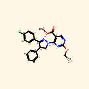 CC(C)(C)OC(=O)c1cnc(OCC(F)(F)F)nc1N1CC(c2ccccc2)C(c2ccc(Cl)cc2)=N1